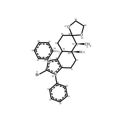 C[C@H]1[C@@H]2CCc3c(nc(Br)n3-c3ccccc3)[C@@]2(c2ccccc2)CCC12OCCO2